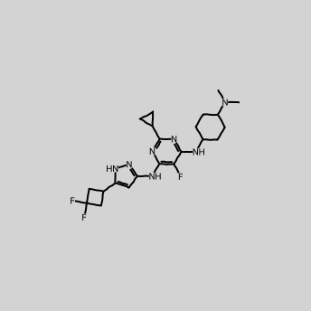 CN(C)C1CCC(Nc2nc(C3CC3)nc(Nc3cc(C4CC(F)(F)C4)[nH]n3)c2F)CC1